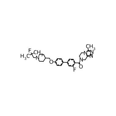 Cc1nnc2n1CCN(C(=O)c1ccc(-c3ccc(OCC4CCN(CC(C)(C)F)CC4)cc3)cc1F)C2